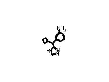 Cn1cnnc1C(c1cccc(N)c1)C1CCC1